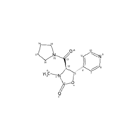 CN1C(=O)O[C@@H](c2ccncc2)[C@@H]1C(=O)N1CCCC1